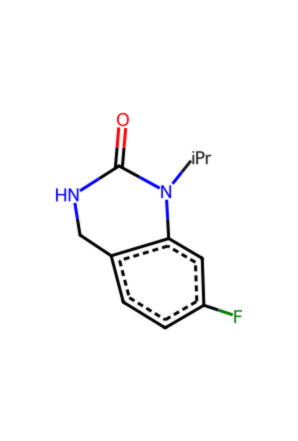 CC(C)N1C(=O)NCc2ccc(F)cc21